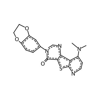 CN(C)c1ccnc2sc3c(=O)n(-c4ccc5c(c4)OCCO5)cnc3c12